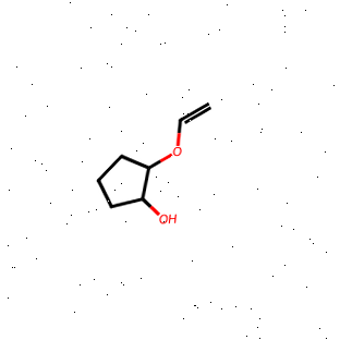 C=COC1CCCC1O